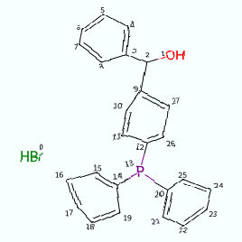 Br.OC(c1ccccc1)c1ccc(P(c2ccccc2)c2ccccc2)cc1